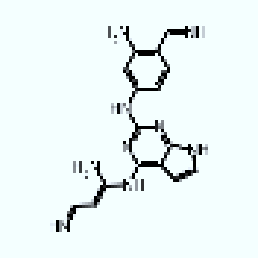 N=C/C=C(\N)Nc1nc(Nc2ccc(C=N)c(N)c2)nc2[nH]ccc12